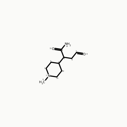 CN1CCC(C(CC=O)C(N)=O)CC1